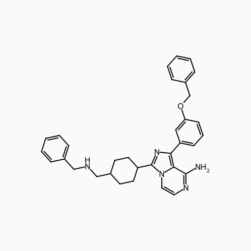 Nc1nccn2c(C3CCC(CNCc4ccccc4)CC3)nc(-c3cccc(OCc4ccccc4)c3)c12